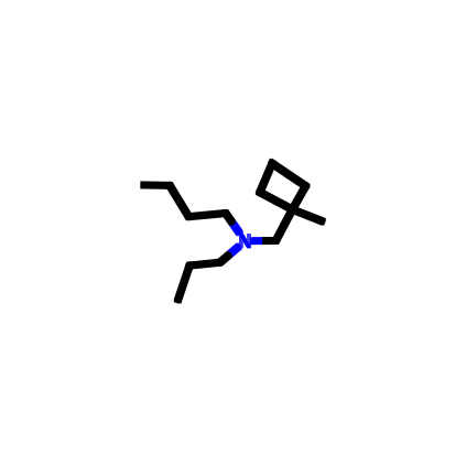 CCCCN(CCC)CC1(C)CCC1